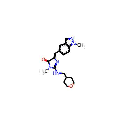 CN1C(=O)/C(=C/c2ccc3c(cnn3C)c2)N=C1NCC1CCOCC1